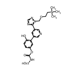 CCCCCCCCNC(=O)Oc1ccc(O)c(-c2cncc(-c3ncnn3COCC[Si](C)(C)C)c2)c1